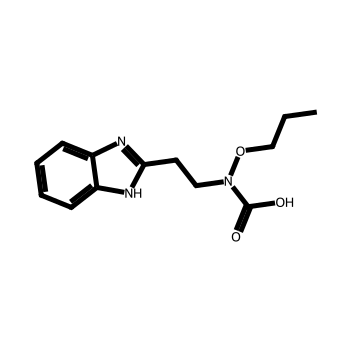 CCCON(CCc1nc2ccccc2[nH]1)C(=O)O